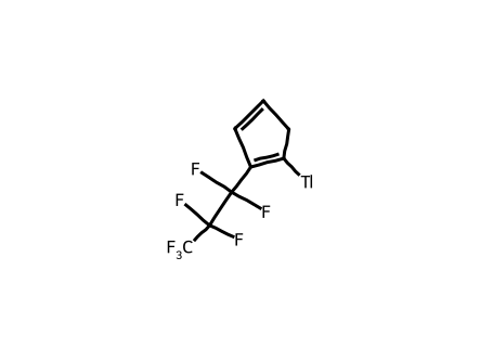 FC(F)(F)C(F)(F)C(F)(F)C1=[C]([Tl])CC=C1